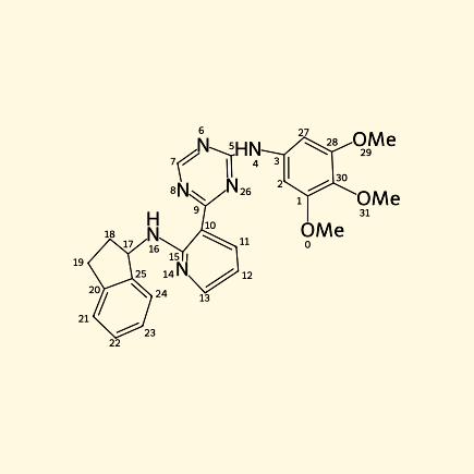 COc1cc(Nc2ncnc(-c3cccnc3NC3CCc4ccccc43)n2)cc(OC)c1OC